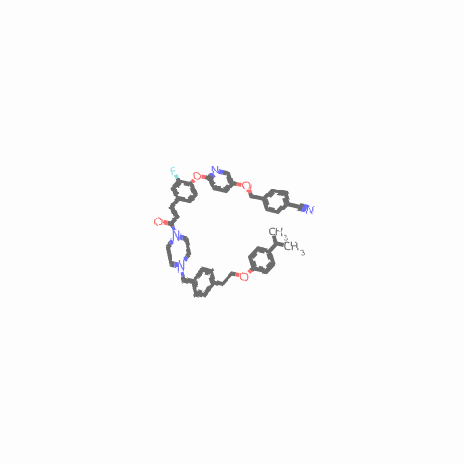 CC(C)c1ccc(OCCc2ccc(CN3CCN(C(=O)C=Cc4ccc(Oc5ccc(OCc6ccc(C#N)cc6)cn5)c(F)c4)CC3)cc2)cc1